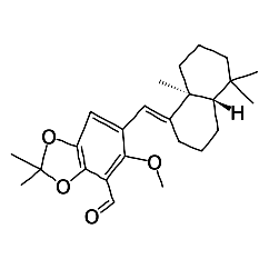 COc1c(/C=C2\CCC[C@H]3C(C)(C)CCC[C@]23C)cc2c(c1C=O)OC(C)(C)O2